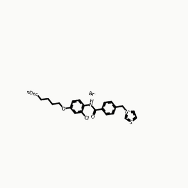 CCCCCCCCCCCCCCOc1ccc(NC(=O)c2ccc(C[n+]3ccsc3)cc2)c(Cl)c1.[Br-]